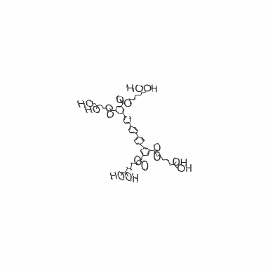 O=C(OCCCCC(O)CO)c1cc(C(=O)OCCCCC(O)CO)cc(-c2ccc(-c3ccc(-c4ccc(-c5cc(C(=O)OCCCCC(O)CO)cc(C(=O)OCCC(O)CO)c5)cc4)cc3)cc2)c1